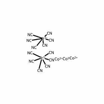 N#[C][Ir-3]([C]#N)([C]#N)([C]#N)([C]#N)[C]#N.N#[C][Ir-3]([C]#N)([C]#N)([C]#N)([C]#N)[C]#N.[Co+2].[Co+2].[Co+2]